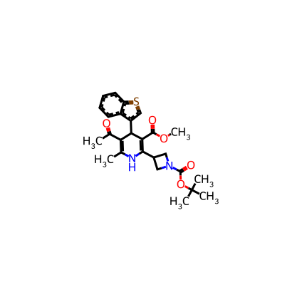 COC(=O)C1=C(C2CN(C(=O)OC(C)(C)C)C2)NC(C)=C(C(C)=O)C1c1csc2ccccc12